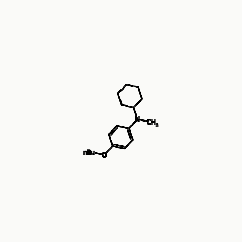 CCCCOc1ccc(N(C)C2CCCCC2)cc1